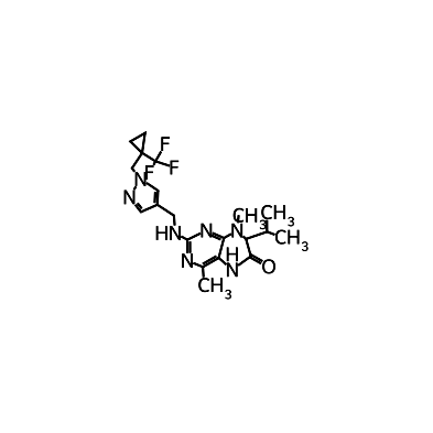 Cc1nc(NCc2cnn(CC3(C(F)(F)F)CC3)c2)nc2c1NC(=O)C(C(C)C)N2C